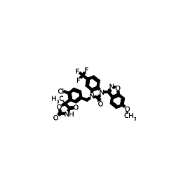 COc1ccc2c(-n3c(=O)n(Cc4ccc(Cl)c([C@]5(C)OC(=O)NC5=O)c4)c4cc(C(F)(F)F)ccc43)noc2c1